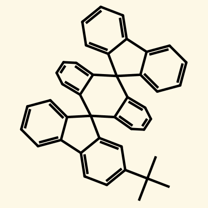 CC(C)(C)c1ccc2c(c1)C1(c3ccccc3-2)c2ccccc2C2(c3ccccc3-c3ccccc32)c2ccccc21